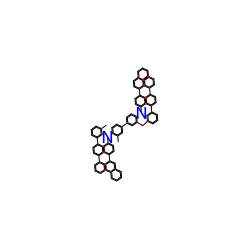 Cc1cc(-c2ccc(N(c3ccc(-c4ccc5ccccc5c4)cc3)c3c(C)cccc3-c3ccc(-c4ccccc4)cc3)c(C)c2)ccc1N(c1ccc(-c2ccc3ccccc3c2)cc1)c1c(C)cccc1-c1ccc(-c2ccccc2)cc1